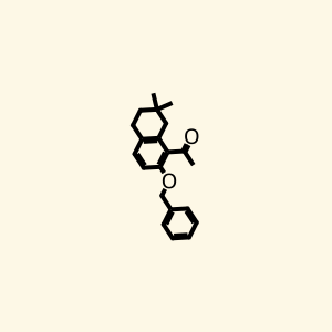 CC(=O)c1c(OCc2ccccc2)ccc2c1CC(C)(C)CC2